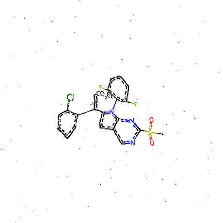 CCOC(=O)/C=C(/c1ccccc1Cl)c1cc2cnc(S(C)(=O)=O)nc2n1-c1c(F)cccc1F